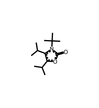 CC(C)c1oc(=O)n(C(C)(C)C)c1C(C)C